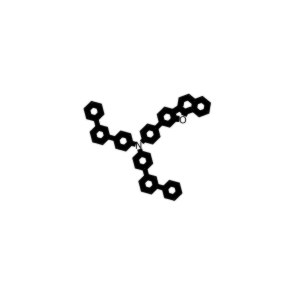 c1ccc(-c2cccc(-c3ccc(N(c4ccc(-c5cccc(-c6ccccc6)c5)cc4)c4ccc(-c5ccc6c(c5)oc5c7ccccc7ccc65)cc4)cc3)c2)cc1